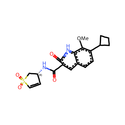 COc1c(C2CCC2)ccc2cc(C(=O)N[C@@H]3C=CS(=O)(=O)C3)c(=O)[nH]c12